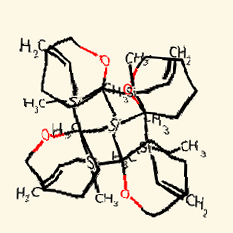 C=C[Si](C)(C)C1([Si](C2([Si](C)(C)C=C)CCCCO2)(C2([Si](C)(C)C=C)CCCCO2)C2([Si](C)(C)C=C)CCCCO2)CCCCO1